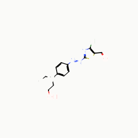 CC[As](CCO)c1ccc(N=Nc2nc(Cl)c(C=O)s2)cc1